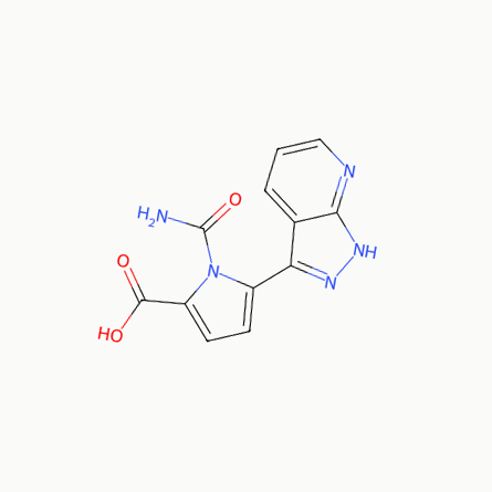 NC(=O)n1c(C(=O)O)ccc1-c1n[nH]c2ncccc12